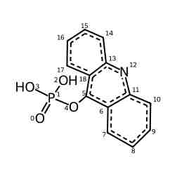 O=P(O)(O)Oc1c2ccccc2nc2ccccc12